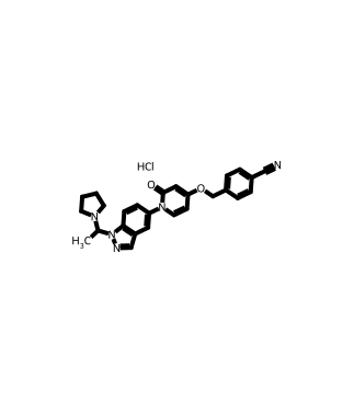 CC(N1CCCC1)n1ncc2cc(-n3ccc(OCc4ccc(C#N)cc4)cc3=O)ccc21.Cl